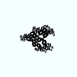 CC(C)(C)c1ccc(N(c2ccc(C(C)(C)C)cc2)c2cc3c4c(c2)N(c2ccc(C(C)(C)C)cc2-c2ccccc2)c2ccc5c(sc6cc(C(C)(C)C)ccc65)c2B4c2cc4c(cc2N3c2ccc3c(c2)C(C)(C)CCC3(C)C)C(C)(C)CCC4(C)C)cc1